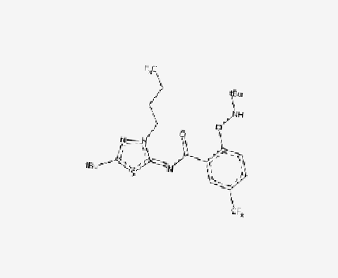 CC(C)(C)NOc1ccc(C(F)(F)F)cc1C(=O)N=c1sc(C(C)(C)C)nn1CCCC(F)(F)F